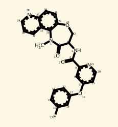 CN1C(=O)C(NC(=O)c2cc(Oc3cccc(F)c3)ccn2)COc2ccc3ncccc3c21